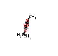 C=CCCCOc1ccc(OC(=O)c2ccc(OCCC[C@@H](C)CC)cc2)cc1